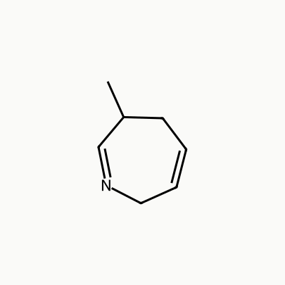 CC1C=NCC=CC1